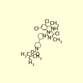 Cc1nc(N2CCCC(C3CCN(C(=O)OC(C)(C)C)CC3)C2)nc(N[C@H](C)c2ccc(Cl)cc2Cl)c1Cl